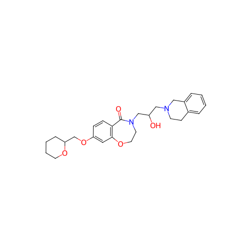 O=C1c2ccc(OCC3CCCCO3)cc2OCCN1CC(O)CN1CCc2ccccc2C1